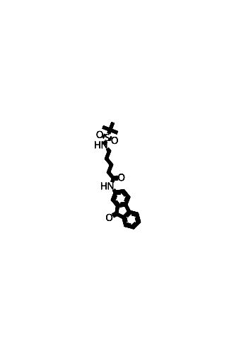 CC(C)(C)S(=O)(=O)NCCCCC(=O)Nc1ccc2c(c1)C(=O)c1ccccc1-2